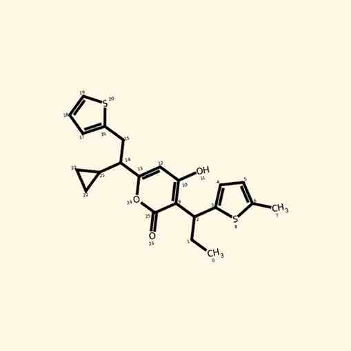 CCC(c1ccc(C)s1)c1c(O)cc(C(Cc2cccs2)C2CC2)oc1=O